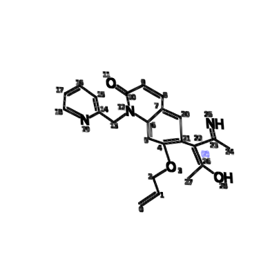 C=CCOc1cc2c(ccc(=O)n2Cc2ccccn2)cc1/C(C(C)=N)=C(\C)O